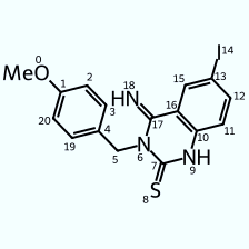 COc1ccc(Cn2c(=S)[nH]c3ccc(I)cc3c2=N)cc1